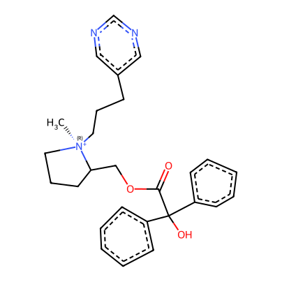 C[N@@+]1(CCCc2cncnc2)CCCC1COC(=O)C(O)(c1ccccc1)c1ccccc1